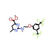 COC(=O)C1=NC(N(C)CCOc2cc(C(F)(F)F)cc(C(F)(F)F)c2)=NC(C)C1